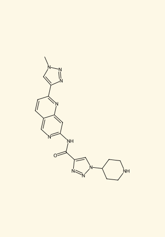 Cn1cc(-c2ccc3cnc(NC(=O)c4cn(C5CCNCC5)nn4)cc3n2)nn1